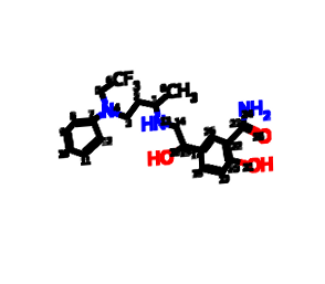 CC(CCN(CC(F)(F)F)c1ccccc1)NCC(O)c1ccc(O)c(C(N)=O)c1